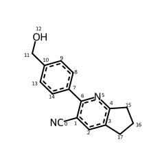 N#Cc1cc2c(nc1-c1ccc(CO)cc1)CCC2